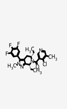 CC[C@H]1Cc2c(nn(C)c2-c2cc(F)c(F)c(F)c2)[C@@H](CC)N1C(=O)c1cncc(C)c1Cl